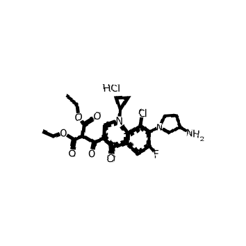 CCOC(=O)C(C(=O)OCC)C(=O)c1cn(C2CC2)c2c(Cl)c(N3CCC(N)C3)c(F)cc2c1=O.Cl